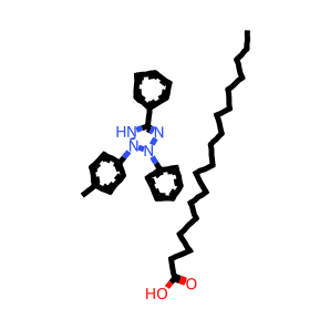 CCCCCCCCCCCCCCCCCC(=O)O.Cc1ccc(N2NC(c3ccccc3)=NN2c2ccccc2)cc1